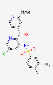 CNc1cc(C(=O)c2ncc(Cl)cc2NS(=O)(=O)c2ccc(C)c(C(F)(F)F)c2)ccn1